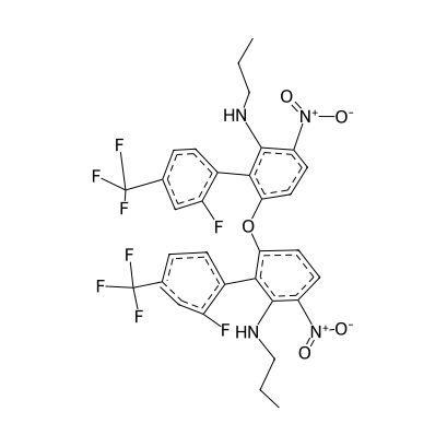 CCCNc1c([N+](=O)[O-])ccc(Oc2ccc([N+](=O)[O-])c(NCCC)c2-c2ccc(C(F)(F)F)cc2F)c1-c1ccc(C(F)(F)F)cc1F